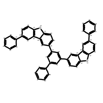 c1ccc(-c2cc(-c3ccc4oc5ccc(-c6ccccc6)cc5c4c3)cc(-c3ccc4oc5ccc(-c6ccccc6)cc5c4c3)c2)cc1